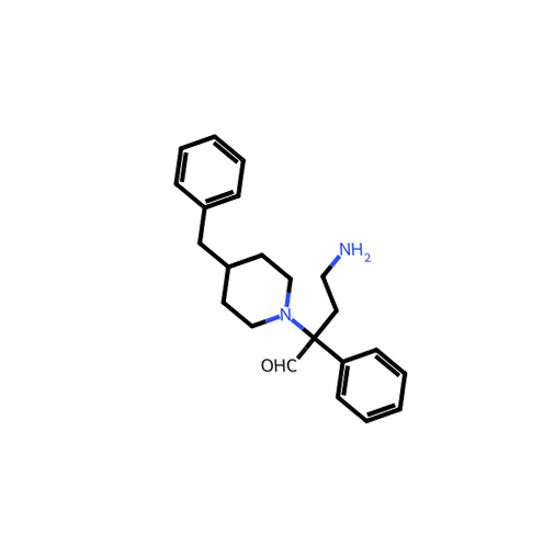 NCCC(C=O)(c1ccccc1)N1CCC(Cc2ccccc2)CC1